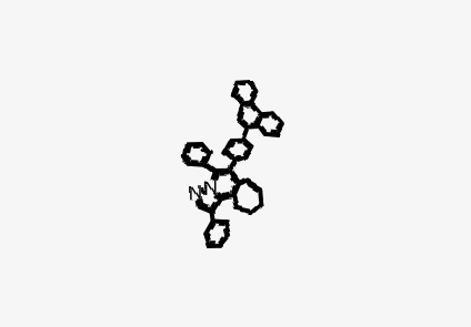 C1=Cc2c(-c3ccc(-c4cc5ccccc5c5ccccc45)cc3)c(-c3ccccc3)n3ncc(-c4ccccc4)c3c2CCC1